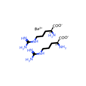 N=C(N)NCCC[C@H](N)C(=O)[O-].N=C(N)NCCC[C@H](N)C(=O)[O-].[Ba+2]